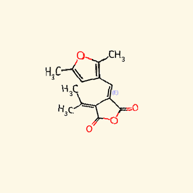 CC(C)=C1C(=O)OC(=O)/C1=C/c1cc(C)oc1C